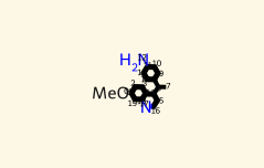 COc1ccc2c(C(C)c3ccc(N)cc3)ccnc2c1